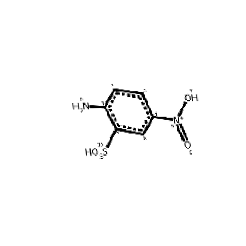 Nc1ccc([N+](=O)O)cc1S(=O)(=O)O